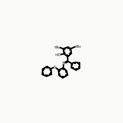 CC(C)(C)c1cc(/C(=N/c2ccccc2Sc2ccccc2)c2ccccc2)c(O)c(C(C)(C)C)c1